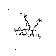 [2H]OCCOCC(OCCO[2H])C(OCCO[2H])C(C)OCCO[2H]